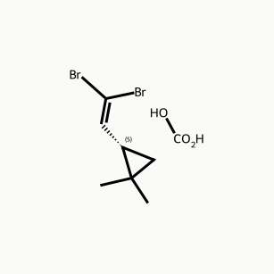 CC1(C)C[C@H]1C=C(Br)Br.O=C(O)O